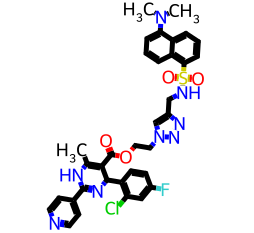 CC1=C(C(=O)OCCn2cc(CNS(=O)(=O)c3cccc4c(N(C)C)cccc34)nn2)C(c2ccc(F)cc2Cl)N=C(c2ccncc2)N1